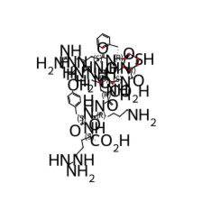 N=C(N)NCCC[C@H](NC(=O)[C@H](Cc1ccc(O)cc1)NC(=O)[C@@H](CCCCN)NC(=O)[C@@H](CCCNC(=N)N)NC(=O)[C@H](Cc1ccccc1)NC(=O)[C@H](CS)NC(=O)[C@@H](Cc1ccccc1)NC(=O)[C@H](CCCNC(=N)N)NC(=O)[C@@H](N)CC(=O)O)C(=O)O